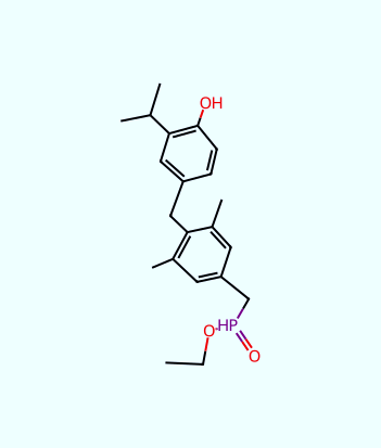 CCO[PH](=O)Cc1cc(C)c(Cc2ccc(O)c(C(C)C)c2)c(C)c1